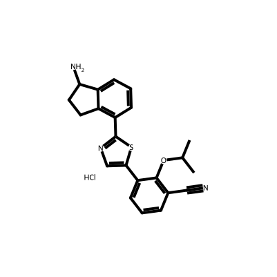 CC(C)Oc1c(C#N)cccc1-c1cnc(-c2cccc3c2CCC3N)s1.Cl